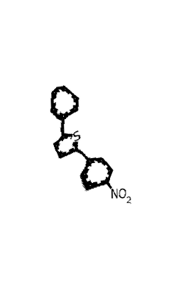 O=[N+]([O-])c1ccc(-c2ccc(-c3ccccc3)s2)cc1